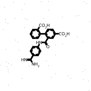 N=C(N)c1ccc(NC(=O)c2cc(C(=O)O)ccc2-c2ccccc2C(=O)O)cc1